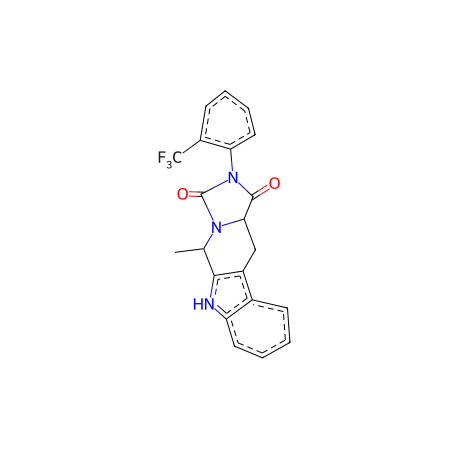 CC1c2[nH]c3ccccc3c2CC2C(=O)N(c3ccccc3C(F)(F)F)C(=O)N21